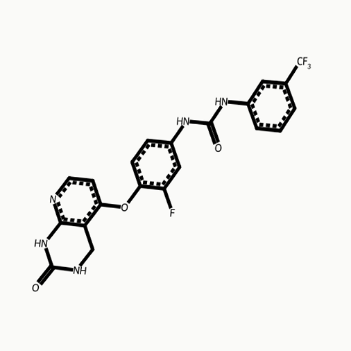 O=C(Nc1cccc(C(F)(F)F)c1)Nc1ccc(Oc2ccnc3c2CNC(=O)N3)c(F)c1